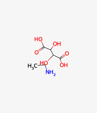 CCN.O=C(O)C(O)C(O)C(=O)O